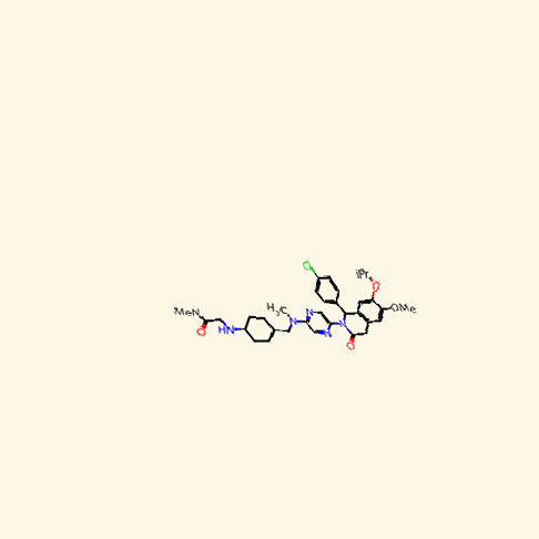 CNC(=O)CN[C@H]1CC[C@@H](CN(C)c2cnc(N3C(=O)Cc4cc(OC)c(OC(C)C)cc4C3c3ccc(Cl)cc3)cn2)CC1